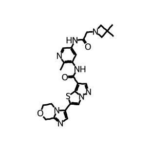 Cc1ncc(NC(=O)CN2CC(C)(C)C2)cc1NC(=O)c1cnn2cc(-c3cnc4n3CCOC4)sc12